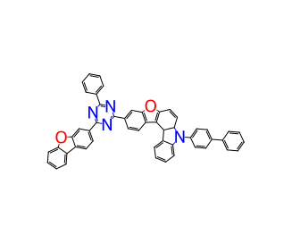 C1=CC2C(c3ccccc3N2c2ccc(-c3ccccc3)cc2)c2c1oc1cc(-c3nc(-c4ccccc4)nc(-c4ccc5c(c4)oc4ccccc45)n3)ccc21